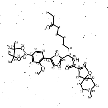 CCC(=O)CCCCC[C@H](NC(=O)C1=NOC2(CCN(C)CC2)C1)c1ncc(-c2ccc(B3OC(C)(C)C(C)(C)O3)cc2OC)o1